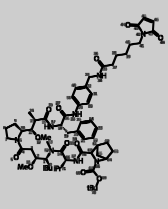 CC[C@H](C)[C@@H]([C@H](CC(=O)N1CCC[C@H]1[C@H](OC)[C@@H](C)C(=O)N[C@@H](Cc1ccccc1)C(=O)Nc1ccc(CNC(=O)CCCCCN2C(=O)C=CC2=O)cc1)OC)N(C)C(=O)[C@@H](NC(=O)C1C2CCC(C2)N1C(=O)OC(C)(C)C)C(C)C